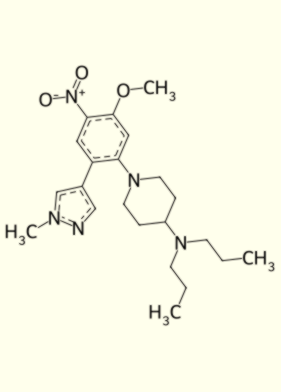 CCCN(CCC)C1CCN(c2cc(OC)c([N+](=O)[O-])cc2-c2cnn(C)c2)CC1